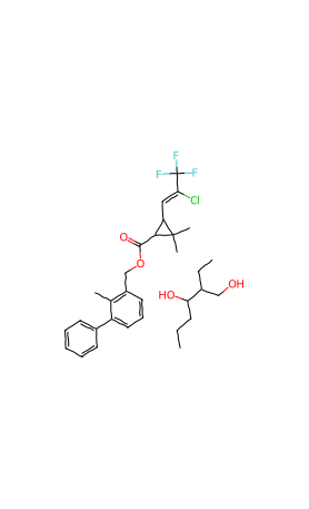 CCCC(O)C(CC)CO.Cc1c(COC(=O)C2C(/C=C(\Cl)C(F)(F)F)C2(C)C)cccc1-c1ccccc1